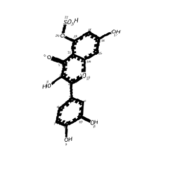 O=c1c(O)c(-c2ccc(O)c(O)c2)oc2cc(O)cc(OS(=O)(=O)O)c12